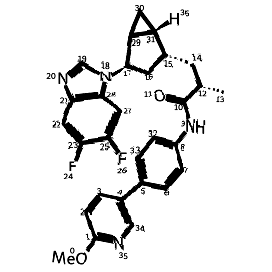 COc1ccc(-c2ccc(NC(=O)[C@@H](C)C[C@@H]3C[C@@H](n4cnc5cc(F)c(F)cc54)C4C[C@@H]43)cc2)cn1